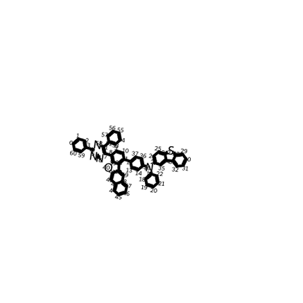 c1ccc(-c2nnc(-c3ccc(-c4ccc(N(c5ccccc5)c5ccc6sc7ccccc7c6c5)cc4)c4c3oc3cc5ccccc5cc34)c(-c3ccccc3)n2)cc1